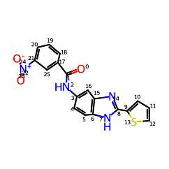 O=C(Nc1ccc2[nH]c(-c3cccs3)nc2c1)c1cccc([N+](=O)[O-])c1